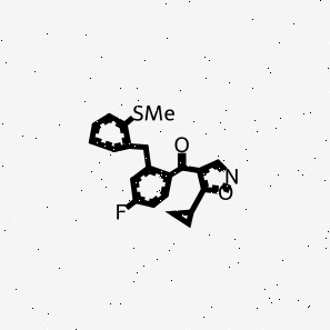 CSc1ccccc1Cc1cc(F)ccc1C(=O)c1cnoc1C1CC1